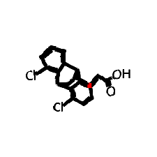 O=C(O)C=CC1CC2c3c(Cl)cccc3C1c1cccc(Cl)c12